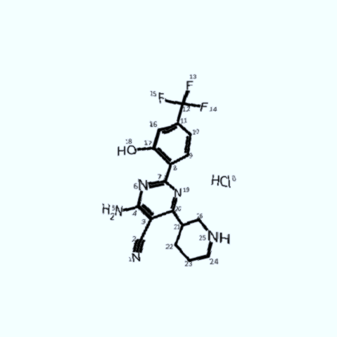 Cl.N#Cc1c(N)nc(-c2ccc(C(F)(F)F)cc2O)nc1C1CCCNC1